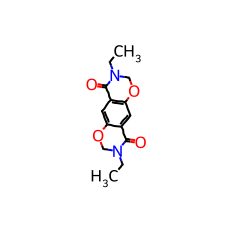 CCN1COc2cc3c(cc2C1=O)OCN(CC)C3=O